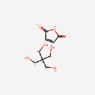 O=C1C=CC(=O)O1.OCC(CO)(CO)CO